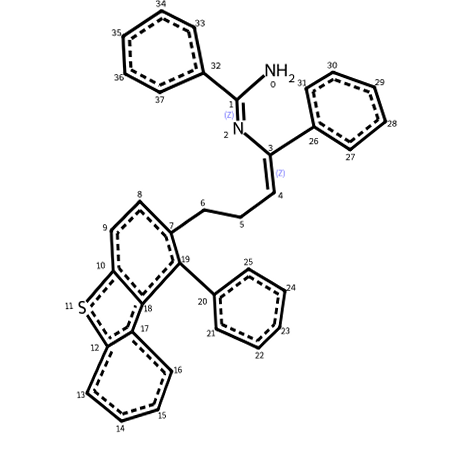 N/C(=N\C(=C/CCc1ccc2sc3ccccc3c2c1-c1ccccc1)c1ccccc1)c1ccccc1